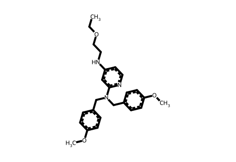 CCOCCNc1ccnc(N(Cc2ccc(OC)cc2)Cc2ccc(OC)cc2)c1